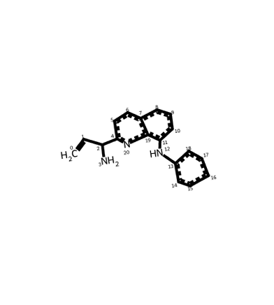 C=CC(N)c1ccc2cccc(Nc3ccccc3)c2n1